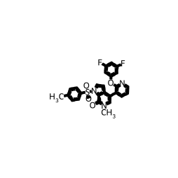 Cc1ccc(S(=O)(=O)n2ccc3c(-c4cccnc4Oc4cc(F)cc(F)c4)cn(C)c(=O)c32)cc1